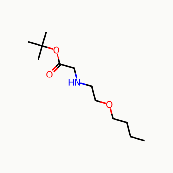 CCCCOCCNCC(=O)OC(C)(C)C